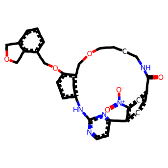 O=C1NCCCCOCc2cc(ccc2OCc2cccc3c2COC3)Nc2nccc(n2)-c2ccc1cc2[N+](=O)[O-]